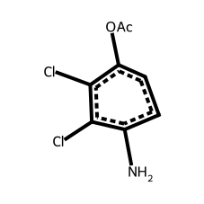 CC(=O)Oc1ccc(N)c(Cl)c1Cl